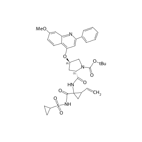 C=CC1CC1(NC(=O)[C@@H]1C[C@@H](Oc2cc(-c3ccccc3)nc3cc(OC)ccc23)CN1C(=O)OC(C)(C)C)C(=O)NS(=O)(=O)C1CC1